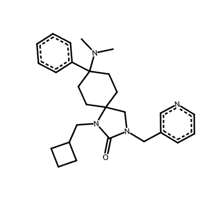 CN(C)C1(c2ccccc2)CCC2(CC1)CN(Cc1cccnc1)C(=O)N2CC1CCC1